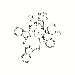 CCN(CC)C(=O)O[Si]1(OC(=O)N(CC)CC)n2c3c4ccccc4c2/N=C2N=C(/N=c4/c5ccccc5/c(n41)=N/C1=NC(=N\3)/c3ccccc31)c1ccccc1\2